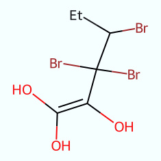 CCC(Br)C(Br)(Br)C(O)=C(O)O